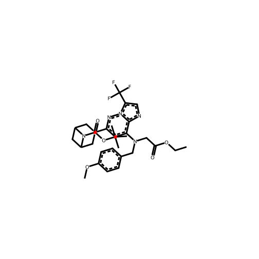 CCOC(=O)CN(Cc1ccc(OC)cc1)c1cc(N2CC3CC(C2)N3C(=O)OC(C)(C)C)nn2c(C(F)(F)F)cnc12